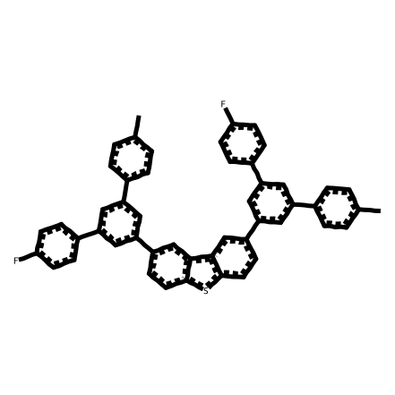 Cc1ccc(-c2cc(-c3ccc(F)cc3)cc(-c3ccc4sc5ccc(-c6cc(-c7ccc(C)cc7)cc(-c7ccc(F)cc7)c6)cc5c4c3)c2)cc1